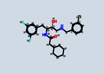 CCc1cccc(CNC[C@@H](O)[C@H](Cc2cc(F)cc(F)c2)NC(=O)CC2CCCCC2)c1